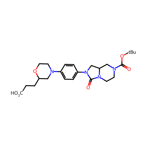 CC(C)(C)OC(=O)N1CCN2C(=O)N(c3ccc(N4CCOC(CCC(=O)O)C4)cc3)CC2C1